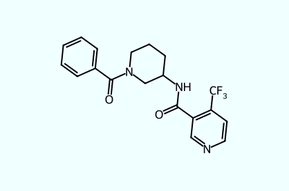 O=C(NC1CCCN(C(=O)c2ccccc2)C1)c1cnccc1C(F)(F)F